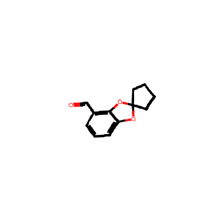 O=Cc1cccc2c1OC1(CCCC1)O2